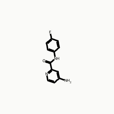 Nc1ccnc(C(=O)Nc2ccc(F)cc2)c1